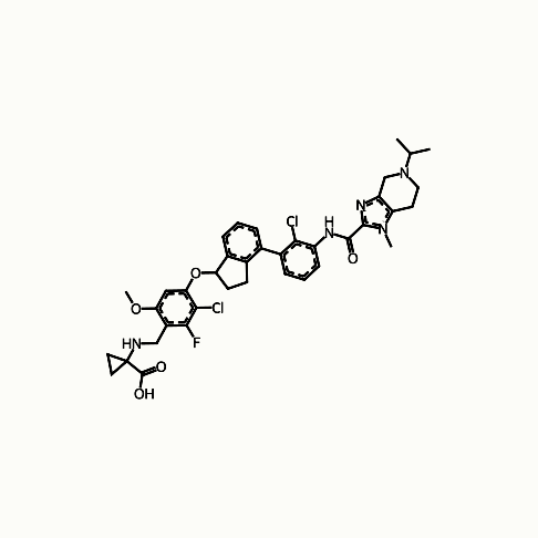 COc1cc(OC2CCc3c(-c4cccc(NC(=O)c5nc6c(n5C)CCN(C(C)C)C6)c4Cl)cccc32)c(Cl)c(F)c1CNC1(C(=O)O)CC1